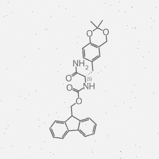 CC1(C)OCc2cc(C[C@H](NC(=O)OCC3c4ccccc4-c4ccccc43)C(N)=O)ccc2O1